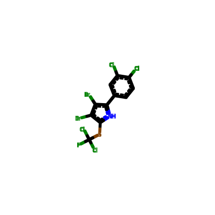 FC(Cl)(Cl)Sc1[nH]c(-c2ccc(Cl)c(Cl)c2)c(Br)c1Br